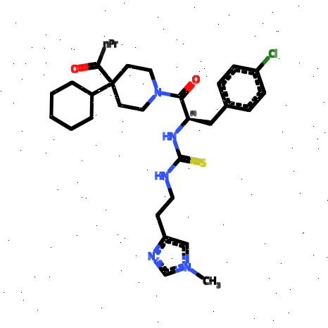 CCCC(=O)C1(C2CCCCC2)CCN(C(=O)[C@@H](Cc2ccc(Cl)cc2)NC(=S)NCCc2cn(C)cn2)CC1